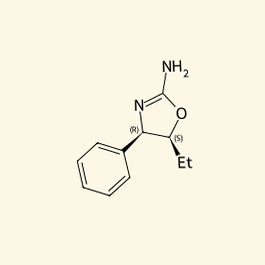 CC[C@@H]1OC(N)=N[C@@H]1c1ccccc1